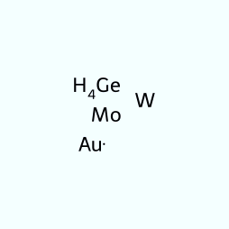 [Au].[GeH4].[Mo].[W]